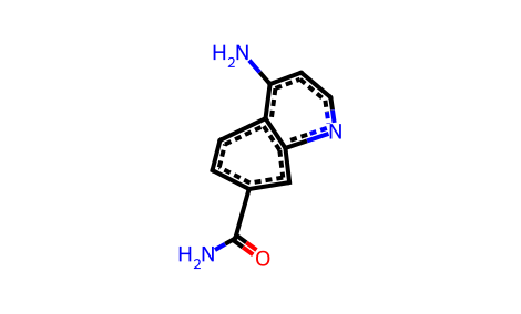 NC(=O)c1ccc2c(N)ccnc2c1